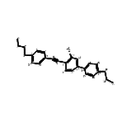 CCCCc1ccc(C#Cc2ccc(-c3ccc(CCC)cc3)cc2F)cc1